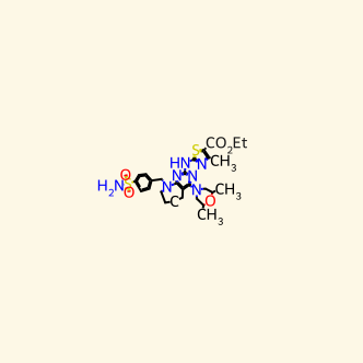 CCOC(=O)c1sc(Nc2nc3c(c(N4CC(C)OC(C)C4)n2)CCCCN3Cc2ccc(S(N)(=O)=O)cc2)nc1C